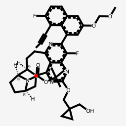 CC#Cc1c(F)ccc2cc(OCOC)cc(-c3nc4c5c(nc(OCC6(CO)CC6)nc5c3F)N3C[C@H]5CC[C@@H]([C@H]3CC4)N5C(=O)OC(C)(C)C)c12